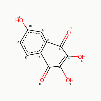 O=C1C(O)=C(O)C(=O)c2cc(O)ccc21